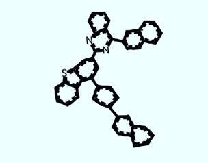 c1ccc2cc(-c3ccc(-c4cc(-c5nc(-c6ccc7ccccc7c6)c6ccccc6n5)cc5sc6ccccc6c45)cc3)ccc2c1